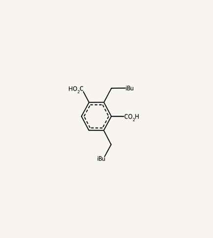 CCC(C)Cc1ccc(C(=O)O)c(CC(C)CC)c1C(=O)O